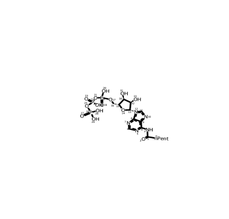 CCCCCC(=O)Nc1ncnc2c1ncn2[C@@H]1O[C@H](COP(=O)(O)OP(=O)(O)OP(=O)(O)O)[C@@H](O)[C@H]1O